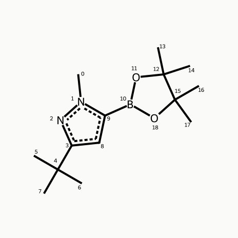 Cn1nc(C(C)(C)C)cc1B1OC(C)(C)C(C)(C)O1